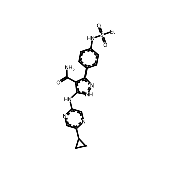 CCS(=O)(=O)Nc1ccc(-c2n[nH]c(Nc3cnc(C4CC4)cn3)c2C(N)=O)cc1